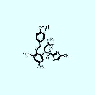 Cc1cc(C)c(OCc2ccc(C(=O)O)cc2)c(N(CC(C)F)S(=O)(=O)c2nc(C)cs2)c1